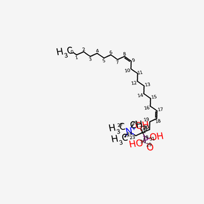 CCCCCCCC/C=C\CCCCCCC/C=C\CCC(O)(C[N+](C)(C)C)P(=O)(O)O